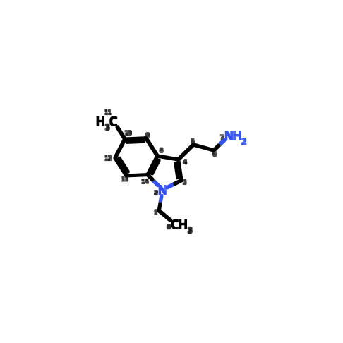 CCn1cc(CCN)c2cc(C)ccc21